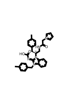 Cc1ccc(C[C@@H](CNC(=O)Cn2cccc2)n2c(=NC(=O)O)n(Cc3ccc(C)cc3)c3ccccc32)cc1